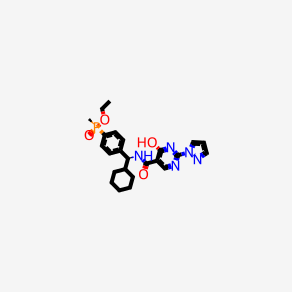 CCO[P@@](C)(=O)c1ccc([C@H](NC(=O)c2cnc(-n3cccn3)nc2O)C2CCCCC2)cc1